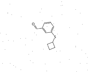 O=Cc1cccc(SC2CCC2)c1